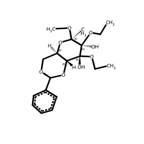 CCO[C@]1(O)[C@](C)(OC)O[C@@H]2COC(c3ccccc3)O[C@H]2[C@@]1(O)OCC